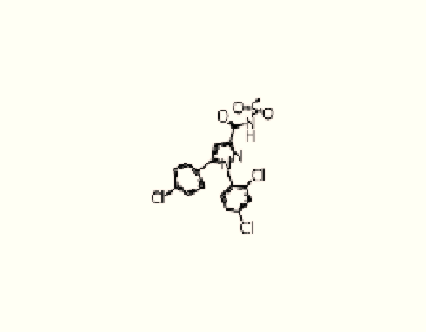 CS(=O)(=O)NC(=O)c1cc(-c2ccc(Cl)cc2)n(-c2ccc(Cl)cc2Cl)n1